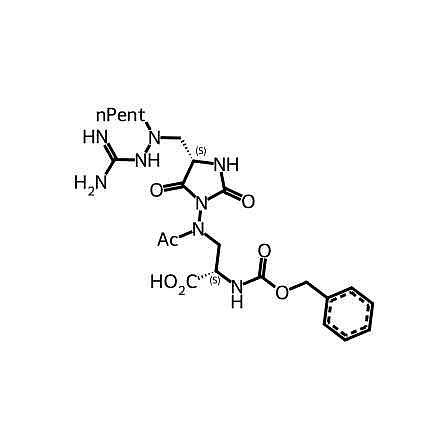 CCCCCN(C[C@@H]1NC(=O)N(N(C[C@H](NC(=O)OCc2ccccc2)C(=O)O)C(C)=O)C1=O)NC(=N)N